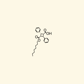 CCCCCCCCOC(=O)[C@H]1[C@H](c2ccccc2)[C@@H](C(=O)O)[C@H]1c1ccccc1